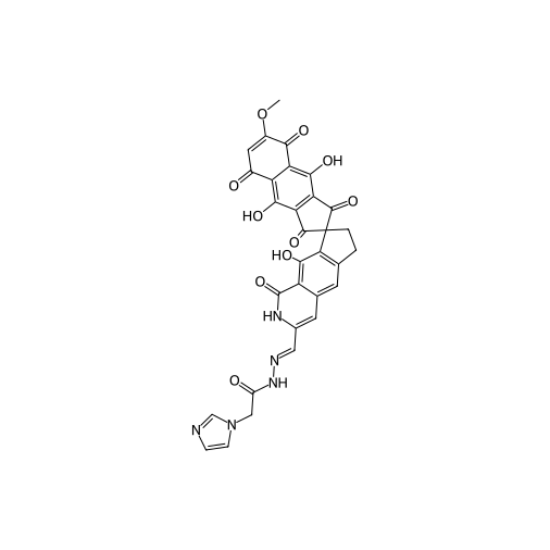 COC1=CC(=O)c2c(O)c3c(c(O)c2C1=O)C(=O)C1(CCc2cc4cc(/C=N/NC(=O)Cn5ccnc5)[nH]c(=O)c4c(O)c21)C3=O